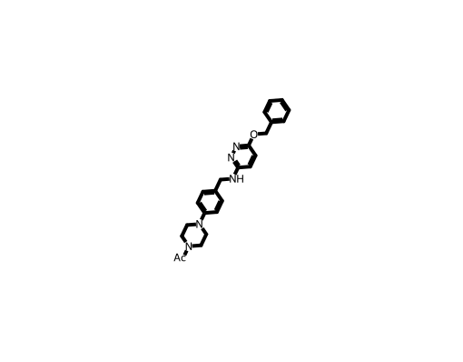 CC(=O)N1CCN(c2ccc(CNc3ccc(OCc4ccccc4)nn3)cc2)CC1